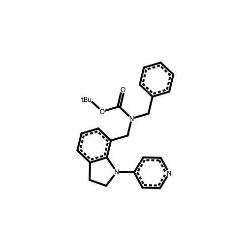 CC(C)(C)OC(=O)N(Cc1ccccc1)Cc1cccc2c1N(c1ccncc1)CC2